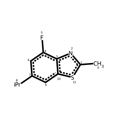 Cc1nc2c(F)cc(C(C)C)cc2s1